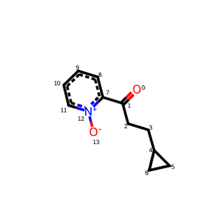 O=C(CCC1CC1)c1cccc[n+]1[O-]